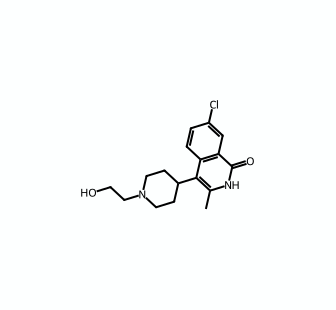 Cc1[nH]c(=O)c2cc(Cl)ccc2c1C1CCN(CCO)CC1